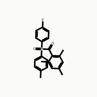 Cc1ccc(P(=O)(C(=O)c2c(C)cc(C)cc2C)c2ccc(F)cc2)cc1